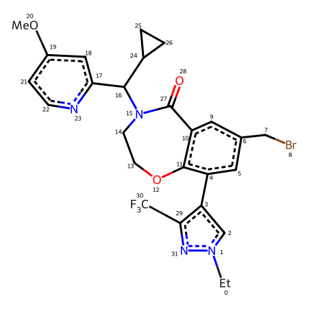 CCn1cc(-c2cc(CBr)cc3c2OCCN(C(c2cc(OC)ccn2)C2CC2)C3=O)c(C(F)(F)F)n1